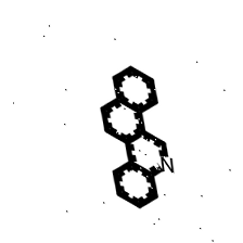 c1ccc2c(c1)ccc1c3ccccc3ncc21